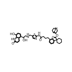 O=C(CCCc1cccc(C2(C(=O)OC3CN4CCC3CC4)CCCCC2)c1)Nc1ncc(CNC[C@H](O)c2ccc(O)c3[nH]c(=O)ccc23)s1